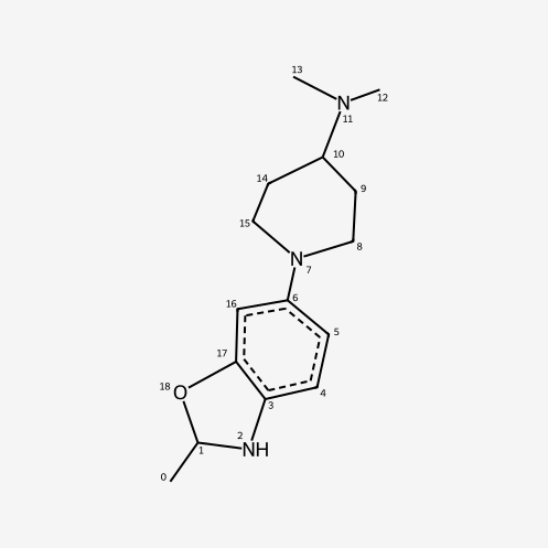 CC1Nc2ccc(N3CCC(N(C)C)CC3)cc2O1